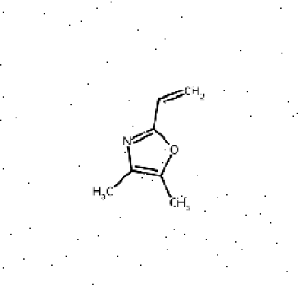 C=Cc1nc(C)c(C)o1